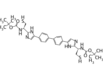 CC(C)(C)OC(=O)N[C@@H](CS)c1ncc(-c2ccc(-c3ccc(-c4cnc([C@H](CS)NC(=O)OC(C)(C)C)[nH]4)cc3)cc2)[nH]1